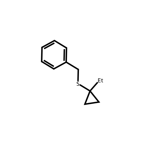 CCC1(SCc2ccccc2)CC1